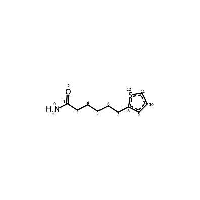 NC(=O)CCCCCc1cccs1